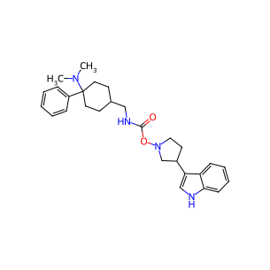 CN(C)C1(c2ccccc2)CCC(CNC(=O)ON2CCC(c3c[nH]c4ccccc34)C2)CC1